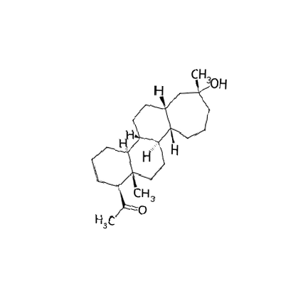 CC(=O)[C@H]1CCC[C@H]2[C@@H]3CC[C@@H]4C[C@](C)(O)CCC[C@@H]4[C@H]3CC[C@]12C